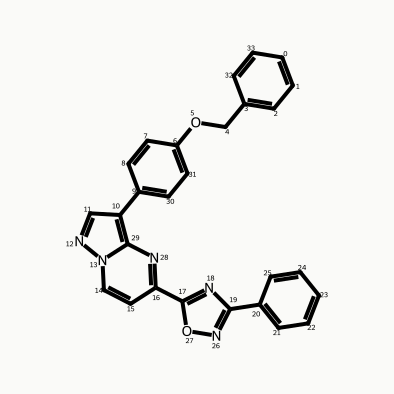 c1ccc(COc2ccc(-c3cnn4ccc(-c5nc(-c6ccccc6)no5)nc34)cc2)cc1